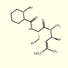 CCOC(=O)/C(C)=C/[C@H](C(C)C)N(C)C(=O)[C@H](CC(C)C)NC(=O)C1CCCCN1C(C)CC